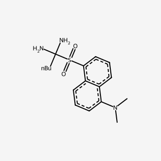 CCCCC(N)(N)S(=O)(=O)c1cccc2c(N(C)C)cccc12